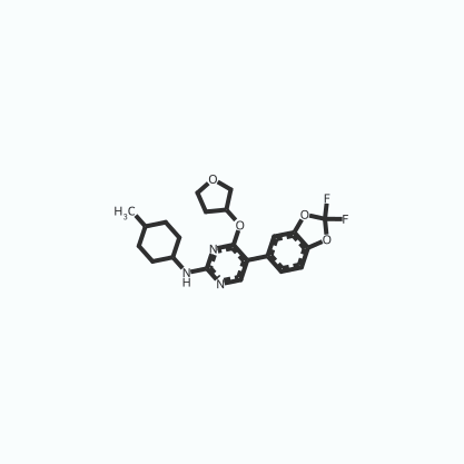 CC1CCC(Nc2ncc(-c3ccc4c(c3)OC(F)(F)O4)c(OC3CCOC3)n2)CC1